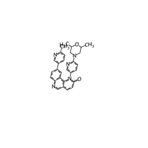 Cc1ccc(-c2ccc3ncc4ccc(=O)n(-c5ccc(N6CC(C)OC(C)C6)nc5)c4c3c2)cn1